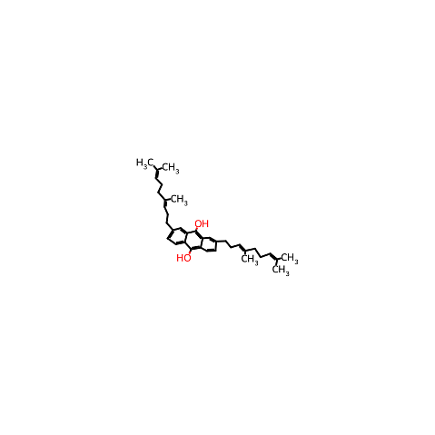 CC(C)=CCC/C(C)=C/CCc1ccc2c(O)c3ccc(CC/C=C(\C)CCC=C(C)C)cc3c(O)c2c1